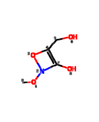 COn1oc(CO)c1O